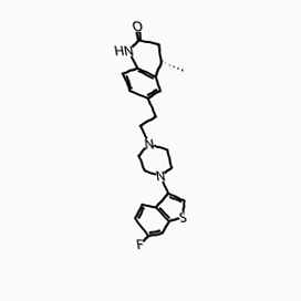 C[C@H]1CC(=O)Nc2ccc(CCN3CCN(c4csc5cc(F)ccc45)CC3)cc21